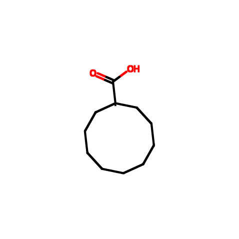 O=C(O)[C]1CCCCCCCCC1